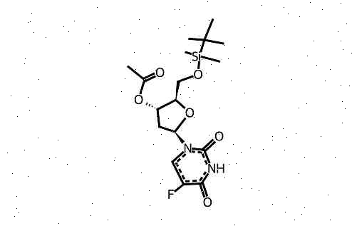 CC(=O)O[C@H]1C[C@H](n2cc(F)c(=O)[nH]c2=O)O[C@@H]1CO[Si](C)(C)C(C)(C)C